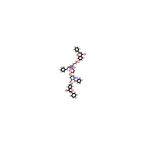 O=C(/C=C\C(=O)OC(CCCOc1ccc2c(=O)cc(-c3ccccc3)oc2c1)CNCCc1ccccc1)OC(CCCOc1ccc2c(=O)cc(-c3ccccc3)oc2c1)CNCCc1ccccc1